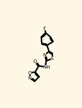 O=C(Nc1nc(-c2ccc(F)cc2)cs1)c1ccno1